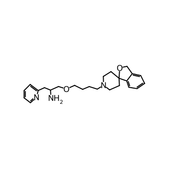 NC(COCCCCN1CCC2(CC1)OCc1ccccc12)Cc1ccccn1